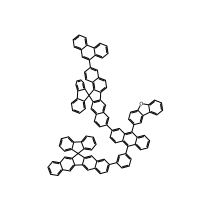 c1cc(-c2ccc3cc4c(cc3c2)C2(c3ccccc3-c3ccccc32)c2cc3ccccc3cc2-4)cc(-c2c3ccccc3c(-c3ccc4oc5ccccc5c4c3)c3cc(-c4ccc5cc6c(cc5c4)-c4ccc5cc(-c7cc8ccccc8c8ccccc78)ccc5c4C64c5ccccc5-c5ccccc54)ccc23)c1